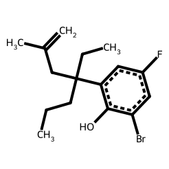 C=C(C)CC(CC)(CCC)c1cc(F)cc(Br)c1O